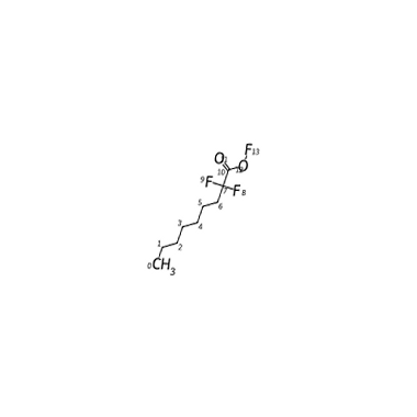 CCCCCCCC(F)(F)C(=O)OF